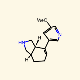 COc1cncc(C2=CCC[C@@H]3CNC[C@H]23)c1